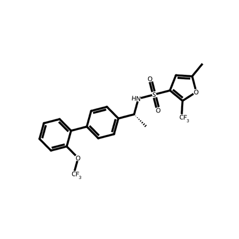 Cc1cc(S(=O)(=O)N[C@H](C)c2ccc(-c3ccccc3OC(F)(F)F)cc2)c(C(F)(F)F)o1